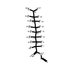 C=COC(=O)C(F)(F)C(F)(F)C(F)(F)C(F)(F)C(F)(F)C(F)(F)C(F)(F)C(F)F